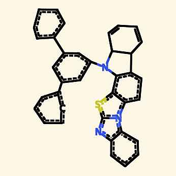 C1=CC2c3ccc4c(sc5nc6ccccc6n54)c3N(c3cc(-c4ccccc4)cc(-c4ccccc4)c3)C2C=C1